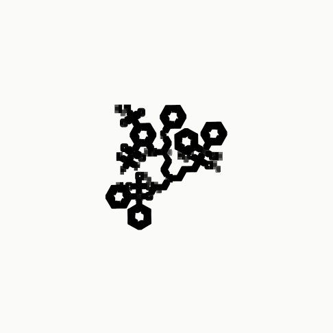 CC(C)(CCCN(CCO[Si](c1ccccc1)(c1ccccc1)C(C)(C)C)CC[C@H](CSc1ccccc1)Nc1ccc(S(N)(=O)=O)cc1S(=O)(=O)C(F)(F)F)[Si](O)(c1ccccc1)c1ccccc1